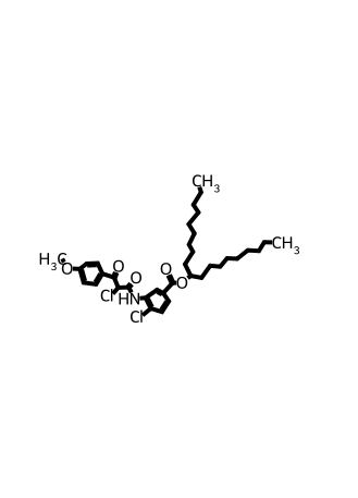 CCCCCCCCCC(CCCCCCCCC)OC(=O)c1ccc(Cl)c(NC(=O)C(Cl)C(=O)c2ccc(OC)cc2)c1